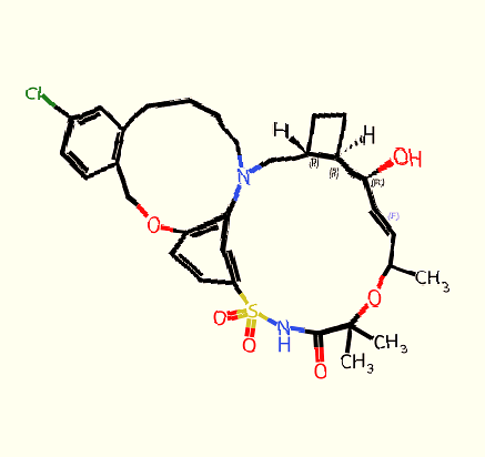 CC1/C=C/[C@H](O)[C@@H]2CC[C@H]2CN2CCCCc3cc(Cl)ccc3COc3ccc(cc32)S(=O)(=O)NC(=O)C(C)(C)O1